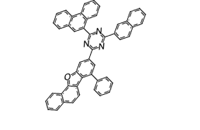 c1ccc(-c2cc(-c3nc(-c4ccc5ccccc5c4)nc(-c4cc5ccccc5c5ccccc45)n3)cc3oc4c5ccccc5ccc4c23)cc1